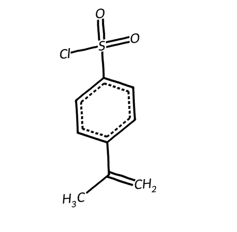 C=C(C)c1ccc(S(=O)(=O)Cl)cc1